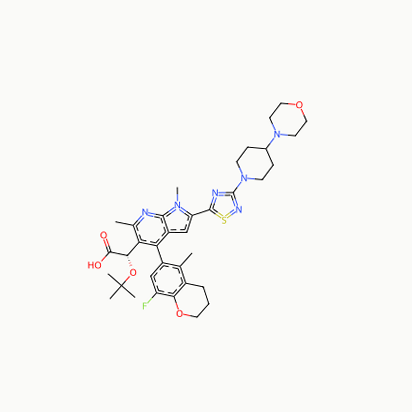 Cc1nc2c(cc(-c3nc(N4CCC(N5CCOCC5)CC4)ns3)n2C)c(-c2cc(F)c3c(c2C)CCCO3)c1[C@H](OC(C)(C)C)C(=O)O